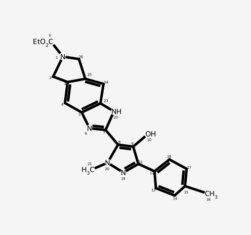 CCOC(=O)N1Cc2cc3nc(-c4c(O)c(-c5ccc(C)cc5)nn4C)[nH]c3cc2C1